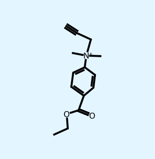 C#CC[N+](C)(C)c1ccc(C(=O)OCC)cc1